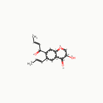 C/C=C/C(=O)c1cc2occ(O)c(=O)c2cc1/C=C/C